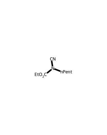 CCCCCN(C#N)C(=O)OCC